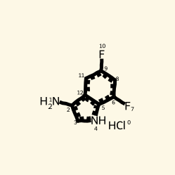 Cl.Nc1c[nH]c2c(F)cc(F)cc12